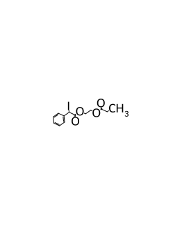 CCC(=O)OCCOC(=O)C(I)c1ccccc1